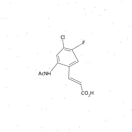 CC(=O)Nc1cc(Cl)c(F)cc1C=CC(=O)O